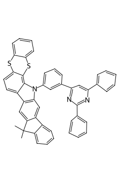 CC1(C)c2ccccc2-c2cc3c(cc21)c1ccc2c(c1n3-c1cccc(-c3cc(-c4ccccc4)nc(-c4ccccc4)n3)c1)Sc1ccccc1S2